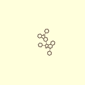 c1ccc(-c2nn3c(-c4ccccc4)cc4ccccc4c3c2-c2ccc3c(c2)c2ccccc2n3-c2ccccc2)cc1